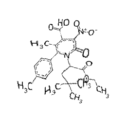 CCOC(=O)C(CC(C)(C)C)n1c(-c2ccc(C)cc2)c(C)c(C(=O)O)c([N+](=O)[O-])c1=O